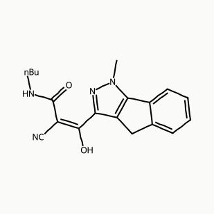 CCCCNC(=O)C(C#N)=C(O)c1nn(C)c2c1Cc1ccccc1-2